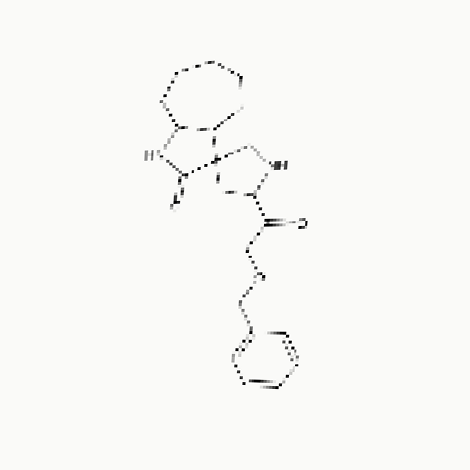 O=C(COCc1ccccc1)C1CC2(CN1)C(=O)NC1CCCCCC12